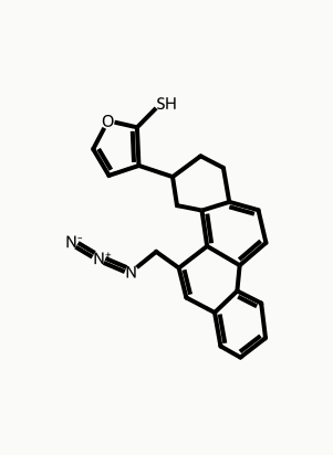 [N-]=[N+]=NCc1cc2ccccc2c2ccc3c(c12)CC(c1ccoc1S)CC3